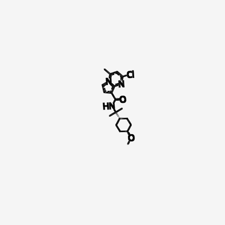 CO[C@H]1CC[C@H](C(C)(C)NC(=O)c2ccn3c(C)cc(Cl)nc23)CC1